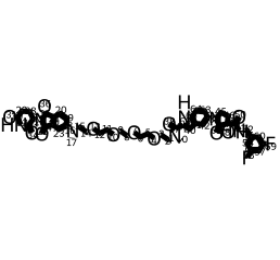 CN(CCOCCOCCOCCOCCN(C)c1ccc2c(c1)C(=O)N(C1CCC(=O)NC1=O)C2=O)C(=O)c1cc2cc(N3CC[C@](O)(C(=O)NCc4cc(F)cc(F)c4)C3=O)ccc2[nH]1